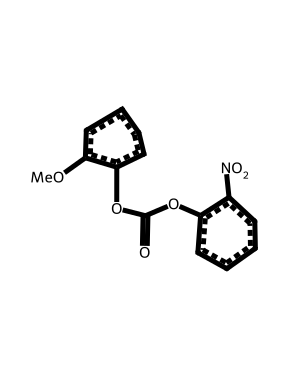 COc1ccccc1OC(=O)Oc1ccccc1[N+](=O)[O-]